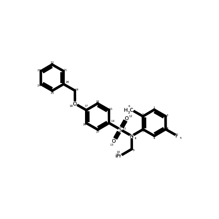 Cc1ccc(F)cc1N(CC(C)C)S(=O)(=O)c1ccc(OCc2ccccc2)cc1